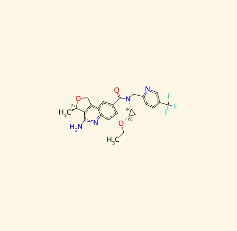 CCO[C@H]1C[C@H]1N(Cc1ccc(C(F)(F)F)cn1)C(=O)c1ccc2nc(N)c3c(c2c1)CO[C@@H]3C